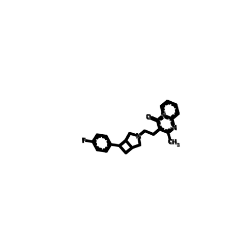 Cc1nc2ccccn2c(=O)c1CCN1CC2CC(c3ccc(F)cc3)C2C1